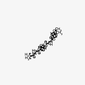 CC(C)OC1CO[C@@H]2C(OC(=O)NCCC(=O)O[C@H]3CO[C@H]4[C@@H]3OC[C@H]4OC(=O)CCNC(=O)C(C)C)CO[C@H]12